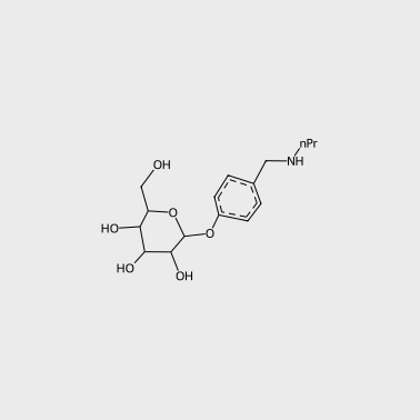 CCCNCc1ccc(OC2OC(CO)C(O)C(O)C2O)cc1